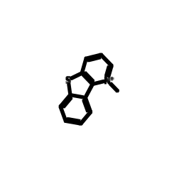 C[n+]1cccc2sc3ccccc3c21